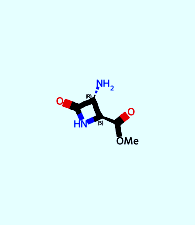 COC(=O)[C@H]1NC(=O)[C@@H]1N